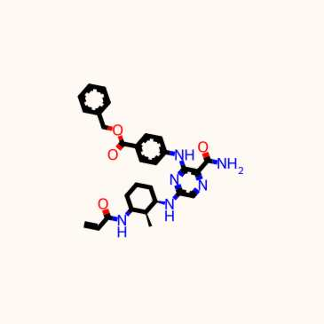 C=CC(=O)NC1CCC[C@@H](Nc2cnc(C(N)=O)c(Nc3ccc(C(=O)OCc4ccccc4)cc3)n2)[C@H]1C